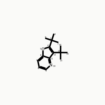 CC(C)(C)c1oc2cccnc2c1C(C)(C)C